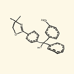 CC1(C)COC(c2ccc(C(O)(c3ccccc3)c3cccc(O)c3)cc2)=N1